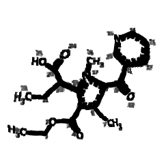 CCOC(=O)c1c(C)c(C(=O)c2cccnc2)n(C)c1C(CC)C(=O)O